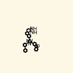 N=C1C=Cc2ccc3cc(-c4nc(-c5cccc(-c6ccccc6)c5)nc(-c5ccc6oc7ccccc7c6c5)n4)ccc3c2C1=N